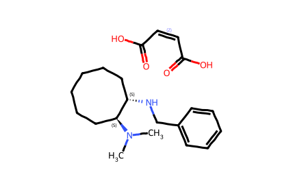 CN(C)[C@H]1CCCCCC[C@@H]1NCc1ccccc1.O=C(O)/C=C\C(=O)O